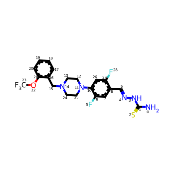 NC(=S)NN=Cc1cc(F)c(N2CCN(Cc3ccccc3OC(F)(F)F)CC2)cc1F